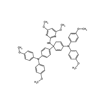 COc1ccc(N(C2=CCC(Nc3nc(OC)cc(OC)n3)(c3ccc(N(c4ccc(OC)cc4)c4ccc(OC)cc4)cc3)C=C2)c2ccc(OC)cc2)cc1